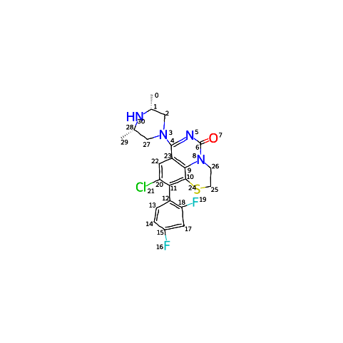 C[C@@H]1CN(c2nc(=O)n3c4c(c(-c5ccc(F)cc5F)c(Cl)cc24)SCC3)C[C@H](C)N1